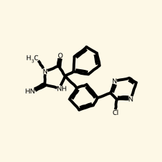 CN1C(=N)NC(c2ccccc2)(c2cccc(-c3nccnc3Cl)c2)C1=O